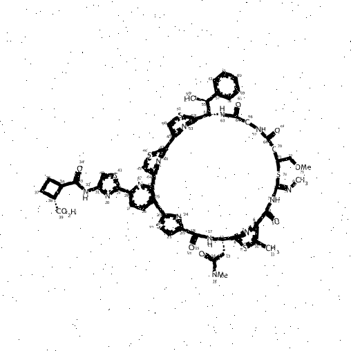 C/N=C1/NC(=O)c2nc(sc2C)[C@H](CC(=O)NC)NC(=O)c2csc(n2)-c2ccc(-c3nc(NC(=O)C4CC[C@H]4C(=O)O)cs3)nc2-c2csc(n2)-c2csc(n2)[C@H]([C@@H](O)c2ccccc2)NC(=O)CNC(=O)CC(COC)S1